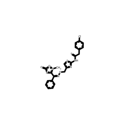 Cn1oc(=O)nc1C(=NOCc1csc(NC(=S)Cc2ccc(Cl)cc2)n1)c1ccccc1